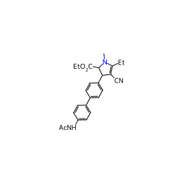 CCOC(=O)C1C(c2ccc(-c3ccc(NC(C)=O)cc3)cc2)C(C#N)=C(CC)N1C